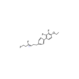 CCOc1ccc(-c2ccc(CC/C=C(\F)CCF)cc2)c(F)c1F